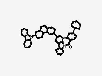 O=c1c2ccc(-c3ccccc3)cc2c2cc(-c3ccc4ccc5cc(-n6c7ccccc7c7ccccc76)ccc5c4c3)cc3c4ccccc4n1c23